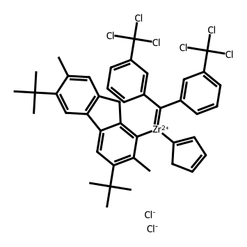 Cc1cc2c(cc1C(C)(C)C)-c1cc(C(C)(C)C)c(C)[c]([Zr+2]([C]3=CC=CC3)=[C](c3cccc(C(Cl)(Cl)Cl)c3)c3cccc(C(Cl)(Cl)Cl)c3)c1C2.[Cl-].[Cl-]